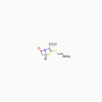 CC(=O)N/C=C/SC1=C(C(=O)O)N2C(=O)C[C@H]2S1